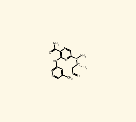 Cc1cncc(Nc2nc(N(N)[C@H](C)CC=O)cnc2C(N)=O)c1